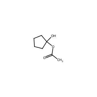 CC(=O)OC1(O)CCCC1